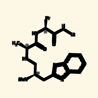 CCNC(=O)[C@@H](NC(=O)[C@H](C)NC[C@H](Cc1nc2ccccc2s1)NC)C(C)C